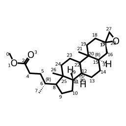 COC(=O)CC[C@@H](C)C1CC[C@H]2[C@@H]3CC[C@@H]4C[C@@]5(CCC4(C)C3CCC12C)CO5